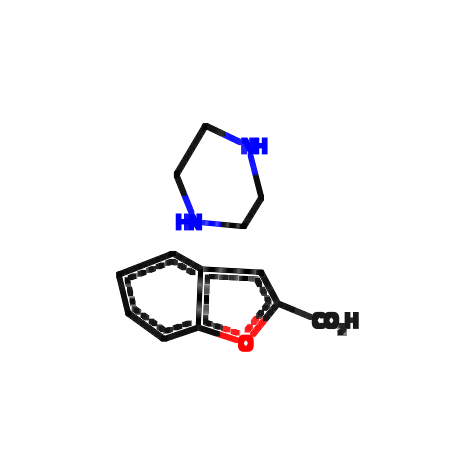 C1CNCCN1.O=C(O)c1cc2ccccc2o1